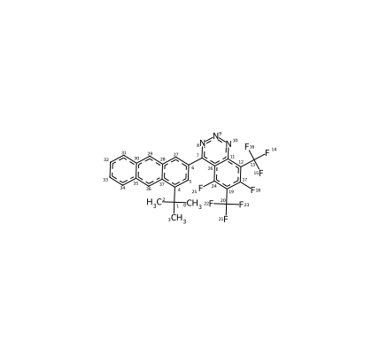 CC(C)(C)c1cc(-c2nnnc3c(C(F)(F)F)c(F)c(C(F)(F)F)c(F)c23)cc2cc3ccccc3cc12